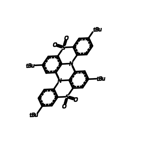 CC(C)(C)c1ccc2c(c1)S(=O)(=O)c1cc(C(C)(C)C)cc3c1N2c1cc(C(C)(C)C)cc2c1N3c1ccc(C(C)(C)C)cc1S2(=O)=O